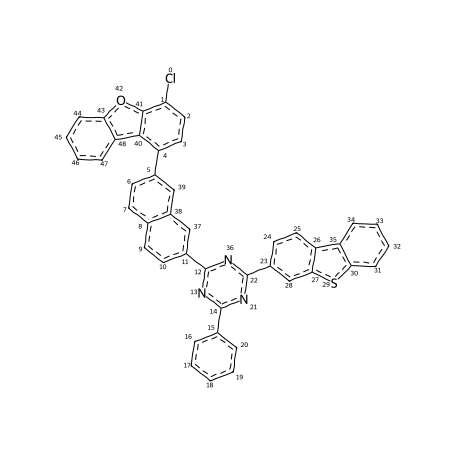 Clc1ccc(-c2ccc3ccc(-c4nc(-c5ccccc5)nc(-c5ccc6c(c5)sc5ccccc56)n4)cc3c2)c2c1oc1ccccc12